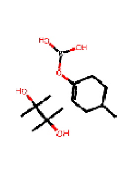 CC(C)(O)C(C)(C)O.CC1CC=C(OB(O)O)CC1